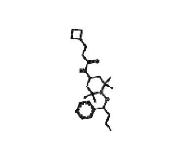 CCCC(ON1C(C)(C)CC(NC(=O)CCC2CCC2)CC1(C)C)c1ccccc1